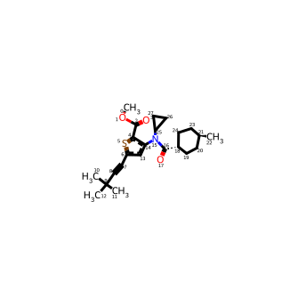 COC(=O)c1sc(C#CC(C)(C)C)cc1N(C(=O)[C@H]1CC[C@H](C)CC1)C1CC1